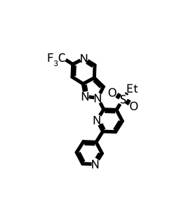 CCS(=O)(=O)c1ccc(-c2cccnc2)nc1-n1cc2cnc(C(F)(F)F)cc2n1